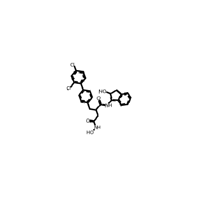 O=C(CC(Cc1ccc(-c2ccc(Cl)cc2Cl)cc1)C(=O)NC1c2ccccc2CC1O)NO